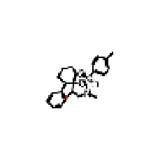 Cc1ccc(S(=O)(=O)OC2(C(C)CN(C)C)CCCCC2c2ccccc2)cc1